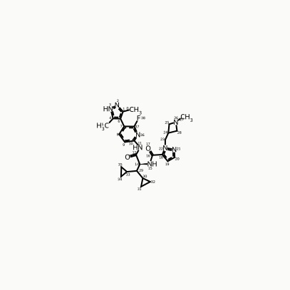 Cc1n[nH]c(C)c1-c1ccc(NC(=O)[C@@H](NC(=O)c2ccnn2CC2CN(C)C2)C(C2CC2)C2CC2)nc1F